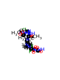 [2H]C1([2H])N(CC2CCN(c3cc(OC(C)C)c(Nc4ncc(Cl)c(Nc5ccccc5S(=O)(=O)C(C)C)n4)cc3C)CC2)C([2H])([2H])C([2H])([2H])N(c2cc(F)c3c(c2F)C(=O)N(C2CCC(=O)NC2=O)C3=O)C1([2H])[2H]